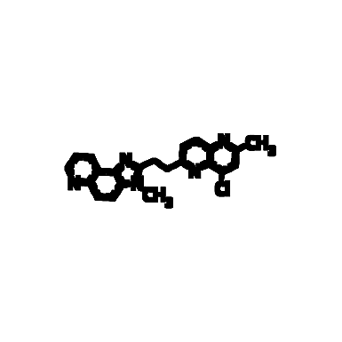 Cc1cc(Cl)c2nc(CCc3nc4c5cccnc5ccc4n3C)ccc2n1